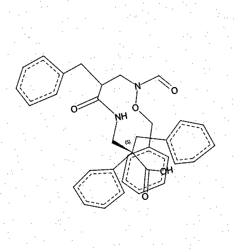 O=CN(CC(Cc1ccccc1)C(=O)NC[C@@](Cc1ccccc1)(C(=O)O)c1ccccc1)OCc1ccccc1